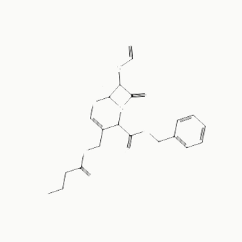 CCCC(=O)OCC1=CS[C@H]2C(NC=O)C(=O)N2C1C(=O)OCc1ccccc1